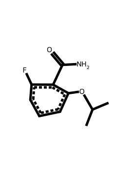 CC(C)Oc1cccc(F)c1C(N)=O